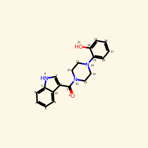 O=C(c1c[nH]c2ccccc12)N1CCN(c2ccccc2O)CC1